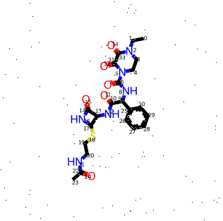 CCN1CCN(C(=O)NC(C(=O)NC2C(=O)NC2SCCNC(C)=O)c2ccccc2)C(=O)C1=O